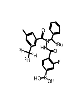 [2H]C([2H])([2H])c1cc(C)cc(C(=O)N(NC(=O)c2ccc(B(O)O)cc2F)C(c2ccccc2)C(C)(C)C)c1